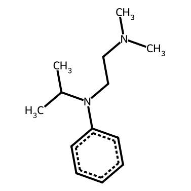 CC(C)N(CCN(C)C)c1ccccc1